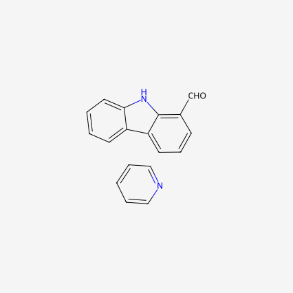 O=Cc1cccc2c1[nH]c1ccccc12.c1ccncc1